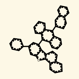 c1ccc(-c2cc(-c3c4ccccc4c(-c4ccc5ccccc5c4)c4ccccc34)c3c(c2)oc2c4ccccc4ccc23)cc1